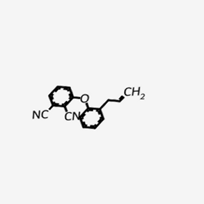 C=CCc1ccccc1Oc1cccc(C#N)c1C#N